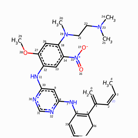 C=C(/C=C\C)C1=C(Nc2cc(Nc3cc([N+](=O)[O-])c(N(C)CCN(C)C)cc3OC)ncn2)C=CCC1